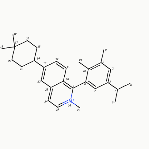 Cc1cc(C(C)C)cc(-c2c3ccc(C4CCC(C)(C)CC4)cc3cc[n+]2C)c1C